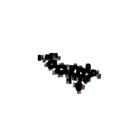 CN(C)C(=O)c1cc2cnc(Nc3ccc(N4CC[C@H](N(C)C)C4)cc3)nc2n(C23CC(C2)C3)c1=O